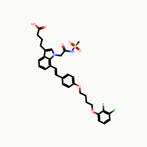 CS(=O)(=O)NC(=O)Cn1cc(CCCC(=O)O)c2cccc(C=Cc3ccc(OCCCCOc4cccc(F)c4F)cc3)c21